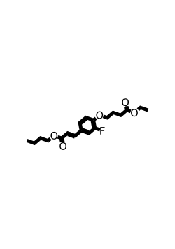 CCCCOC(=O)/C=C/c1ccc(OCCCC(=O)OCC)c(F)c1